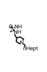 CCCCCCCCN1CCC(CNS(C)(=N)=O)CC1